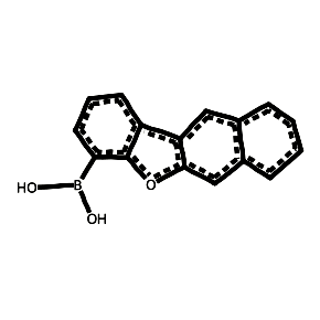 OB(O)c1cccc2c1oc1cc3ccccc3cc12